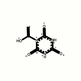 C=C(O)n1c(=O)[nH]c(=O)[nH]c1=O